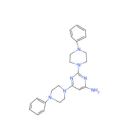 Nc1cc(N2CCN(c3ccccc3)CC2)nc(N2CCN(c3ccccc3)CC2)n1